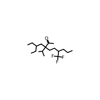 CCCC(CCC(CC(CC)CC)(C(C)=O)C(C)C)C(F)(F)F